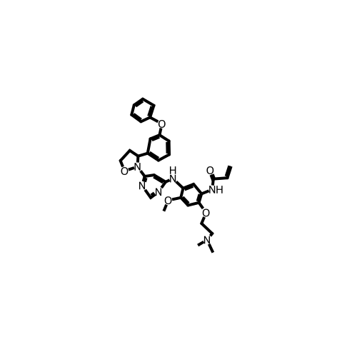 C=CC(=O)Nc1cc(Nc2cc(N3OCCC3c3cccc(Oc4ccccc4)c3)ncn2)c(OC)cc1OCCN(C)C